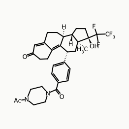 CC(=O)N1CCN(C(=O)c2ccc([C@H]3C[C@@]4(C)[C@@H](CC[C@]4(O)C(F)(F)C(F)(F)F)[C@@H]4CCC5=CC(=O)CCC5=C43)cc2)CC1